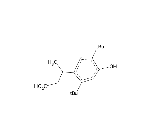 CC(CC(=O)O)c1cc(C(C)(C)C)c(O)cc1C(C)(C)C